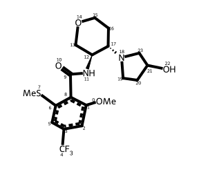 COc1cc(C(F)(F)F)cc(SC)c1C(=O)N[C@H]1COCC[C@@H]1N1CCC(O)C1